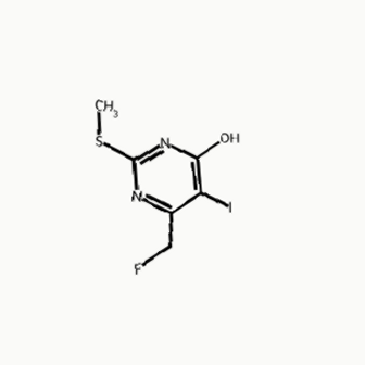 CSc1nc(O)c(I)c(CF)n1